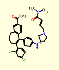 COC(=O)c1ccc2c(c1)CCCC(c1ccc(Cl)cc1Cl)=C2c1ccc(N[C@H]2CCN(CC=CC(=O)N(C)C)C2)cc1